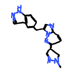 CN1CC(c2ccc3ncc(Cc4ccc5[nH]ncc5c4)n3n2)C=N1